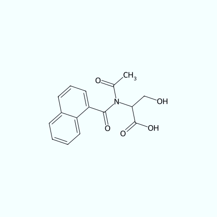 CC(=O)N(C(=O)c1cccc2ccccc12)C(CO)C(=O)O